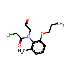 CCCOc1cccc(C)c1N(CC=O)C(=O)CCl